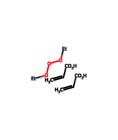 C=CC(=O)O.C=CC(=O)O.CCOOOCC